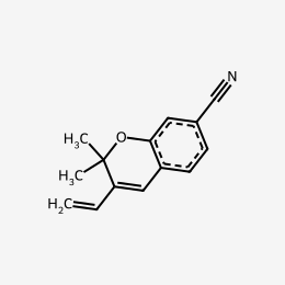 C=CC1=Cc2ccc(C#N)cc2OC1(C)C